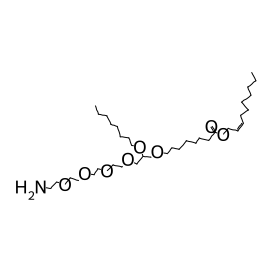 CCCCCCC/C=C\COC(=O)CCCCCCCOCC(COCCOCCOCCOCCN)OCCCCCCCC